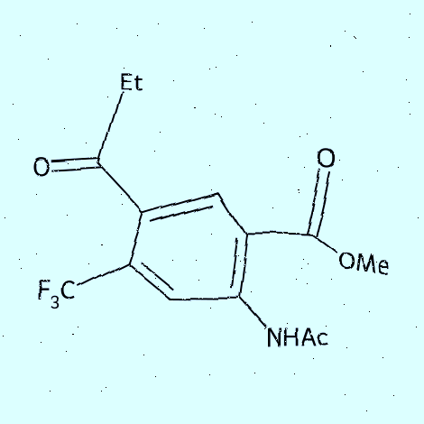 CCC(=O)c1cc(C(=O)OC)c(NC(C)=O)cc1C(F)(F)F